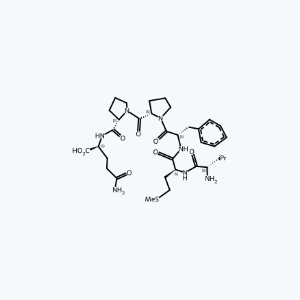 CSCC[C@H](NC(=O)[C@@H](N)C(C)C)C(=O)N[C@@H](Cc1ccccc1)C(=O)N1CCC[C@H]1C(=O)N1CCC[C@H]1C(=O)N[C@@H](CCC(N)=O)C(=O)O